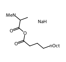 CCCCCCCCCCCC(=O)OC(=O)C(C)NC.[NaH]